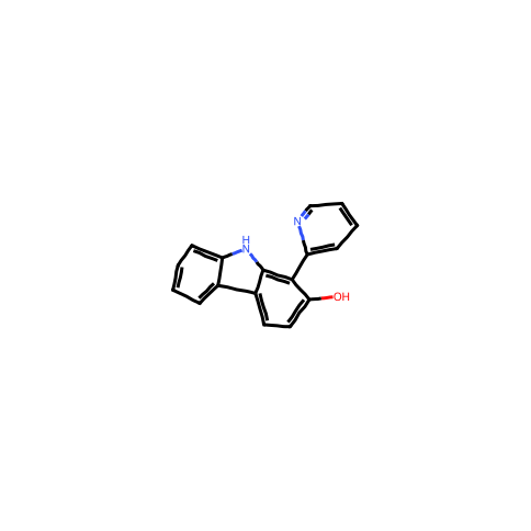 Oc1ccc2c([nH]c3ccccc32)c1-c1ccccn1